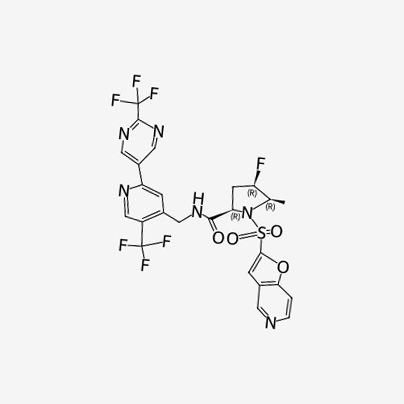 C[C@@H]1[C@H](F)C[C@H](C(=O)NCc2cc(-c3cnc(C(F)(F)F)nc3)ncc2C(F)(F)F)N1S(=O)(=O)c1cc2cnccc2o1